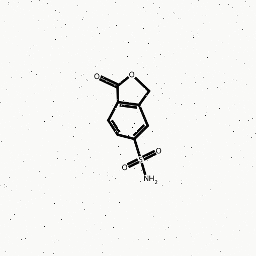 NS(=O)(=O)c1ccc2c(c1)COC2=O